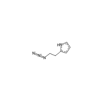 [N-]=[N+]=NCCc1ccc[nH]1